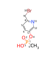 CP(=O)(O)Oc1ccc(CBr)nc1